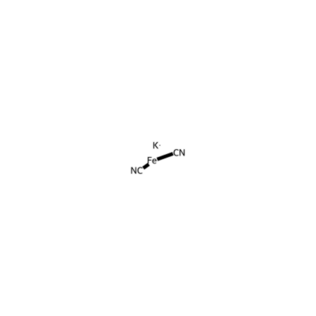 N#[C][Fe][C]#N.[K]